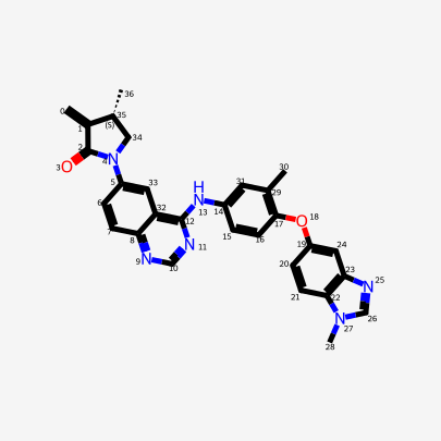 C=C1C(=O)N(c2ccc3ncnc(Nc4ccc(Oc5ccc6c(c5)ncn6C)c(C)c4)c3c2)C[C@H]1C